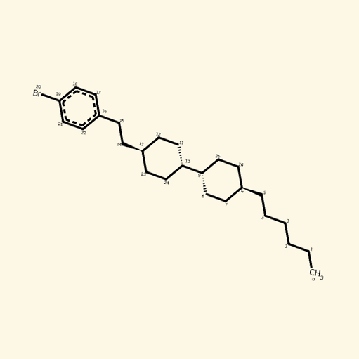 CCCCCC[C@H]1CC[C@H]([C@H]2CC[C@H](CCc3ccc(Br)cc3)CC2)CC1